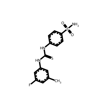 Cc1cc(F)cc(NC(=S)Nc2ccc(S(N)(=O)=O)cc2)c1